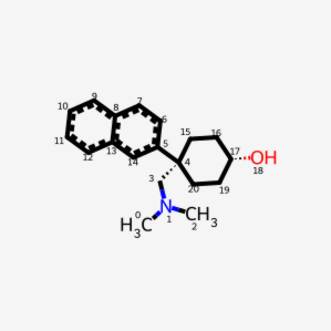 CN(C)C[C@]1(c2ccc3ccccc3c2)CC[C@H](O)CC1